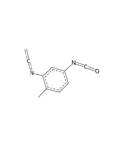 C=C=Nc1cc(N=C=O)ccc1C